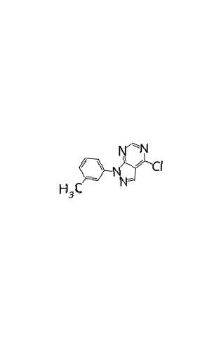 Cc1cccc(-n2ncc3c(Cl)ncnc32)c1